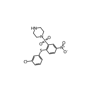 O=[N+]([O-])c1ccc(Sc2cccc(Cl)c2)c(S(=O)(=O)N2CCNCC2)c1